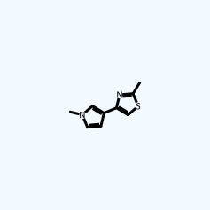 Cc1nc(-c2ccn(C)c2)cs1